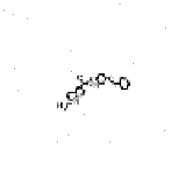 Cc1ccc2cc(C(=O)NCc3ccc(OCc4ccccc4)cc3)ccc2n1